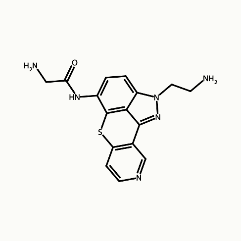 NCCn1nc2c3c(c(NC(=O)CN)ccc31)Sc1ccncc1-2